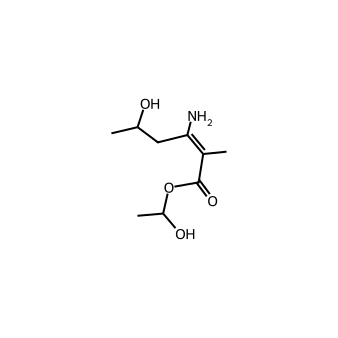 CC(C(=O)OC(C)O)=C(N)CC(C)O